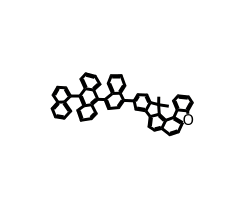 CC1(C)c2ccc(-c3ccc(-c4c5ccccc5c(-c5cccc6ccccc56)c5ccccc45)c4ccccc34)cc2-c2ccc3ccc4oc5ccccc5c4c3c21